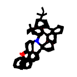 CC(C)(C)c1cc(-c2cccc3cccc(-c4ccccc4N(c4ccc5oc6ccccc6c5c4)c4ccccc4-c4ccc(-c5ccccc5)cc4)c23)cc(C(C)(C)C)c1